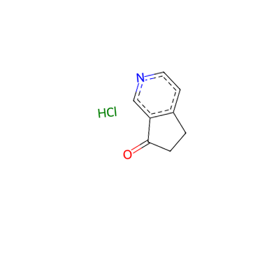 Cl.O=C1CCc2ccncc21